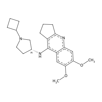 COc1cc2nc3c(c(N[C@@H]4CCN(C5CCC5)C4)c2cc1OC)CCC3